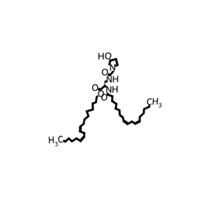 CCCCC/C=C\C/C=C\CCCCCCCCOC(=O)[C@H](CNC(=O)CN1CC[C@H](O)C1)NC(=O)CCCCCCC/C=C\C/C=C\CCCCC